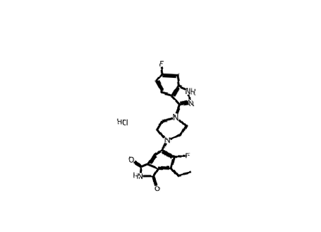 CCc1c(F)c(N2CCN(c3n[nH]c4cc(F)ccc34)CC2)cc2c1C(=O)NC2=O.Cl